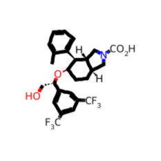 Cc1ccccc1[C@H]1[C@@H]2CN(C(=O)O)C[C@H]2CC[C@@H]1O[C@@H](CO)c1cc(C(F)(F)F)cc(C(F)(F)F)c1